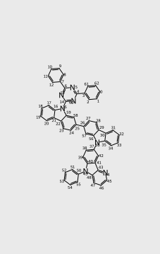 c1ccc(-c2nc(-c3ccccc3)nc(-n3c4ccccc4c4ccc(-c5ccc6c7ccccc7n(-c7ccc8c(c7)c7ncccc7n8-c7ccccc7)c6c5)cc43)n2)cc1